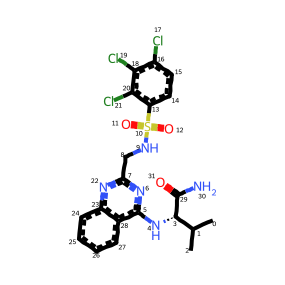 CC(C)[C@H](Nc1nc(CNS(=O)(=O)c2ccc(Cl)c(Cl)c2Cl)nc2ccccc12)C(N)=O